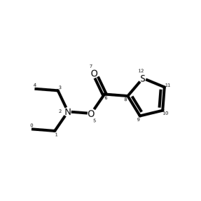 CCN(CC)OC(=O)c1cccs1